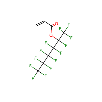 C=CC(=O)OC(F)(C(F)(F)F)C(F)(F)C(F)(F)C(F)(F)C(F)(F)F